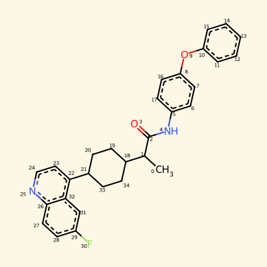 CC(C(=O)Nc1ccc(Oc2ccccc2)cc1)C1CCC(c2ccnc3ccc(F)cc23)CC1